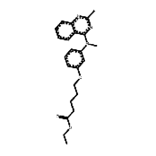 CCOC(=O)CCCCOc1cccc(N(C)c2nc(C)nc3ccccc23)c1